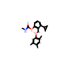 CNC(=O)Oc1cccc(C2CC2)c1COc1cc(C)c(C)cc1C